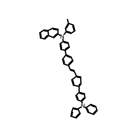 Cc1cccc(N(c2ccc(-c3ccc(/C=C/c4ccc(-c5ccc(N(c6ccccc6)c6ccccc6)cc5)cc4)cc3)cc2)c2ccc3ccccc3c2)c1